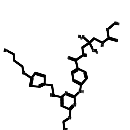 CC(C)(CNC(=O)OC(C)(C)C)CNC(=O)c1ccc(Nc2nc(NCc3ccc(OCCCBr)cc3)cc(OCC(F)(F)F)n2)cc1